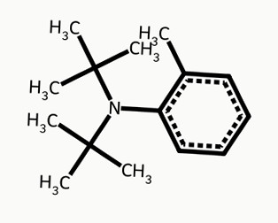 Cc1ccccc1N(C(C)(C)C)C(C)(C)C